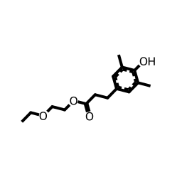 CCOCCOC(=O)CCc1cc(C)c(O)c(C)c1